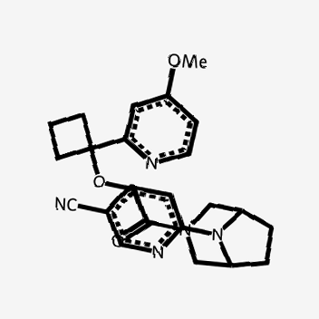 COc1ccnc(C2(OCC(=O)N3CC4CCC(C3)N4c3ccc(C#N)cn3)CCC2)c1